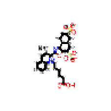 O=C(O)CCCCC[n+]1c(-c2nc3c(o2)c(S(=O)(=O)[O-])cc2cc(S(=O)(=O)[O-])ccc23)ccc2ccccc21.[Na+]